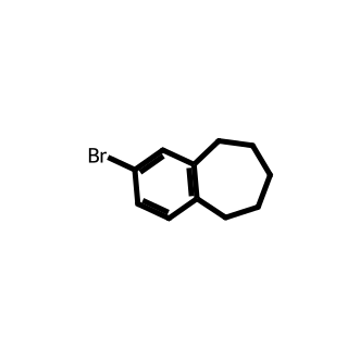 Brc1ccc2c(c1)CCCCC2